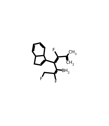 BC(/C(C1=CCC2C=CC=CC12)=C(/F)C(=C)C)=C(\F)CF